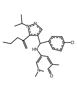 C=C(CCC)c1c(C(NC(/C=C(/C)C=O)=C/N(C)C)c2ccc(Cl)cc2)cnn1C(C)C